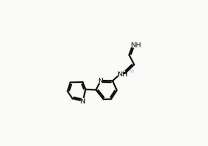 N=C/C=C\Nc1cccc(-c2ccccn2)n1